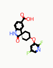 O=C(O)c1ccc2c(c1)[C@]1(CC[C@H](Oc3cc(F)cnc3F)CC1)C(=O)N2